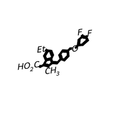 CCc1ccc2c(c1)C(CC(=O)O)=C(C)/C2=C/c1ccc(COc2ccc(F)c(F)c2)cc1